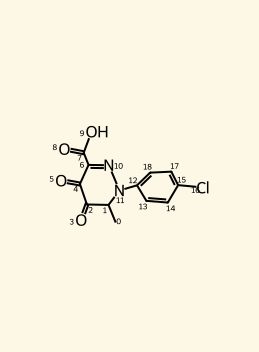 CC1C(=O)C(=O)C(C(=O)O)=NN1c1ccc(Cl)cc1